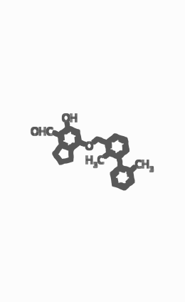 Cc1ccccc1-c1cccc(COc2cc(O)c(C=O)c3c2CCC3)c1C